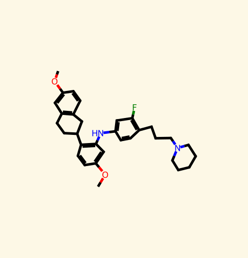 COc1ccc2c(c1)CCC(c1ccc(OC)cc1Nc1ccc(CCCN3CCCCC3)c(F)c1)C2